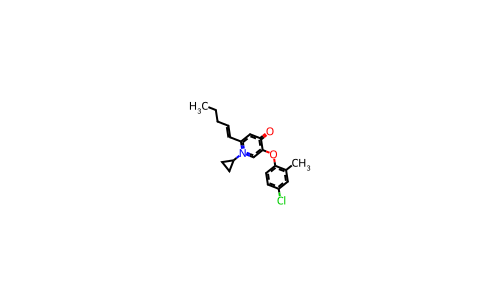 CCC/C=C/c1cc(=O)c(Oc2ccc(Cl)cc2C)cn1C1CC1